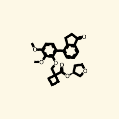 COc1ccc(-c2cccc3c2CCC3=O)c(OCC2(C(=O)O[C@H]3CCOC3)CCC2)c1OC